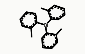 Cc1cccc[c]1[Bi]([c]1ccccc1C)[c]1ccccc1C